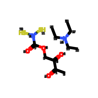 CC(=O)C(=O)COC(=O)N(S)S.CCN(CC)CC